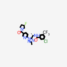 Cc1nc([C@H](C)NC(=O)c2cc(Cl)cc(C(F)(F)F)c2)n(-c2ccc(C(=O)N3CC[C@H](F)C3)cn2)n1